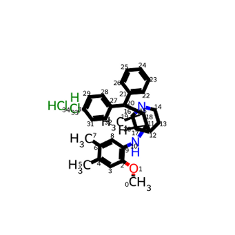 COc1cc(C)c(C)cc1N[C@H]1C2CCN(CC2)[C@@]1(C)C(c1ccccc1)c1ccccc1.Cl.Cl